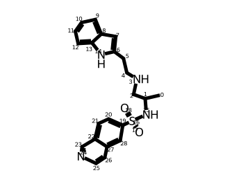 CC(CNCCc1cc2ccccc2[nH]1)NS(=O)(=O)c1ccc2cnccc2c1